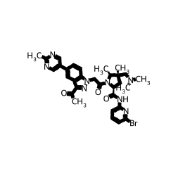 CC(=O)c1nn(CC(=O)N2[C@@H](C)[C@](C)(CN(C)C)C[C@H]2C(=O)Nc2cccc(Br)n2)c2ccc(-c3cnc(C)nc3)cc12